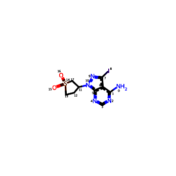 Nc1ncnc2c1c(I)nn2C1CCS(=O)(=O)C1